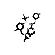 O=c1[nH]c2cnc(NC[C@@H]3CCNC3)nc2n1Cc1cc(OC(F)(F)F)ccc1F